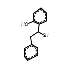 Oc1ccccc1C(S)Cc1ccccc1